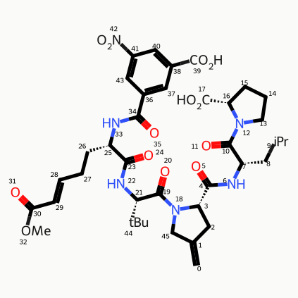 C=C1C[C@@H](C(=O)N[C@@H](CC(C)C)C(=O)N2CCC[C@H]2C(=O)O)N(C(=O)[C@@H](NC(=O)[C@H](CC/C=C/C(=O)OC)NC(=O)c2cc(C(=O)O)cc([N+](=O)[O-])c2)C(C)(C)C)C1